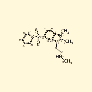 CNCCc1c(C)n(C)c2ccc(S(=O)(=O)c3ccccc3)cc12